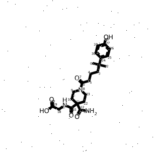 CC(C)(CCCC(=O)N1CCC(C(N)=O)(C(=O)NCC(=O)O)CC1)c1ccc(O)cc1